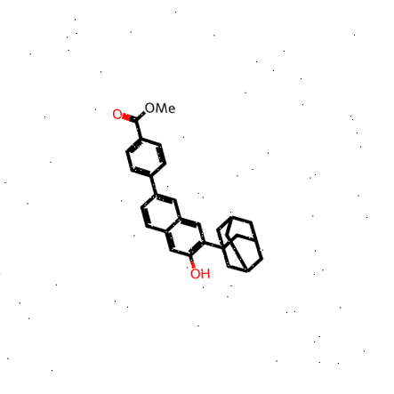 COC(=O)c1ccc(-c2ccc3cc(O)c(C45CC6CC(CC(C6)C4)C5)cc3c2)cc1